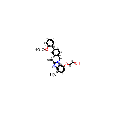 CCCCc1nc2c(C)ccc(OCCO)c2n1Cc1ccc(-c2ccccc2OC(=O)O)cc1